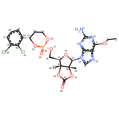 CCOc1nc(N)nc2c1ncn2[C@@H]1O[C@H](CO[P@@]2(=O)OCC[C@@H](c3cccc(Cl)c3Cl)O2)[C@H]2OC(=O)O[C@]21C